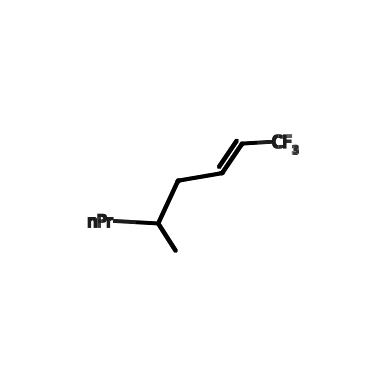 CCCC(C)CC=CC(F)(F)F